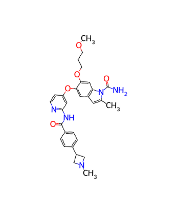 COCCCOc1cc2c(cc1Oc1ccnc(NC(=O)c3ccc(C4CN(C)C4)cc3)c1)cc(C)n2C(N)=O